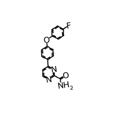 NC(=O)c1nccc(-c2ccc(Oc3ccc(F)cc3)cc2)n1